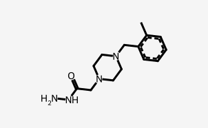 Cc1ccccc1CN1CCN(CC(=O)NN)CC1